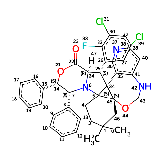 CC1(C)CCC23N4[C@H](c5ccccc5)[C@H](c5ccccc5)OC(=O)[C@H]4[C@H](c4cccc(Cl)c4F)[C@]24c2cnc(Cl)cc2NCO[C@]34C1